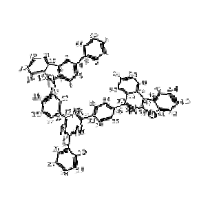 c1ccc(-c2ccc3c(c2)c2ccccc2n3-c2cccc(-c3nc(-c4ccccc4)nc(-c4ccc(-c5nc6oc7ccccc7c6c6ccccc56)cc4)n3)c2)cc1